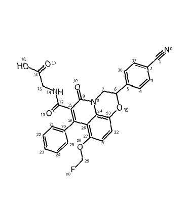 N#Cc1ccc(C2Cn3c(=O)c(C(=O)NCC(=O)O)c(-c4ccccc4)c4c(OCF)ccc(c43)O2)cc1